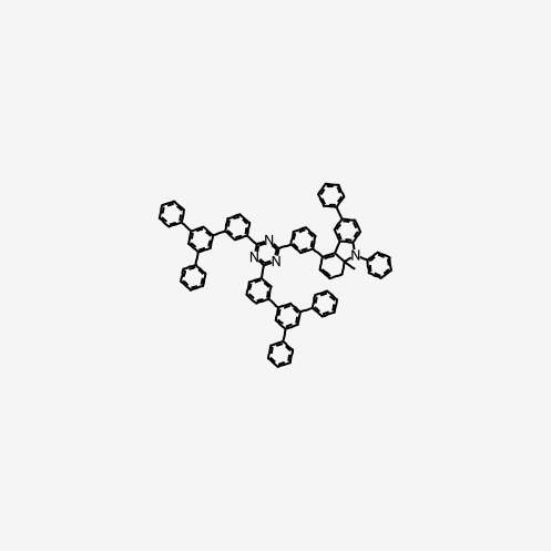 CC12CC=CC(c3cccc(-c4nc(-c5cccc(-c6cc(-c7ccccc7)cc(-c7ccccc7)c6)c5)nc(-c5cccc(-c6cc(-c7ccccc7)cc(-c7ccccc7)c6)c5)n4)c3)=C1c1cc(-c3ccccc3)ccc1N2c1ccccc1